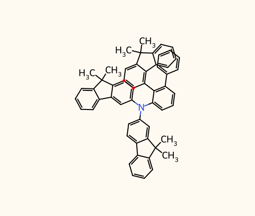 CC1(C)c2ccccc2-c2cc(N(c3ccc4c(c3)C(C)(C)c3ccccc3-4)c3cccc(-c4ccccc4)c3-c3cccc4c3-c3ccccc3C4(C)C)ccc21